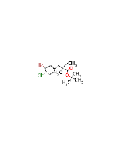 CCC(C)(Cc1ccc(Cl)c(Br)c1)C(=O)OC(C)(C)C